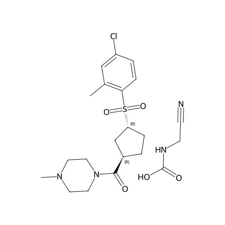 Cc1cc(Cl)ccc1S(=O)(=O)[C@@H]1CC[C@@H](C(=O)N2CCN(C)CC2)C1.N#CCNC(=O)O